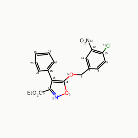 CCOC(=O)c1noc(OCc2ccc(Cl)c([N+](=O)[O-])c2)c1-c1ccccc1